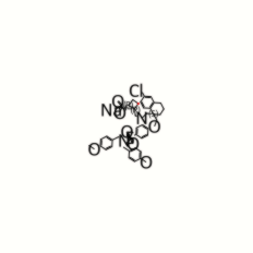 COc1ccc(CN(Cc2ccc(OC)cc2)S(=O)(=O)c2ccc3c(c2)N(C[C@@H]2CC[C@H]2C(=O)[O-])C[C@@]2(CCCc4cc(Cl)ccc42)CO3)cc1.[Na+]